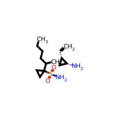 C=C[C@H]1C[C@H]1N.CCCCC(C)C1(S(N)(=O)=O)CC1